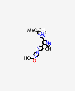 C#CC(=O)N1CCN(c2ccc(-c3cc(-c4cn(CC(C)OC)nn4)cn4ncc(C#N)c34)cn2)CC1